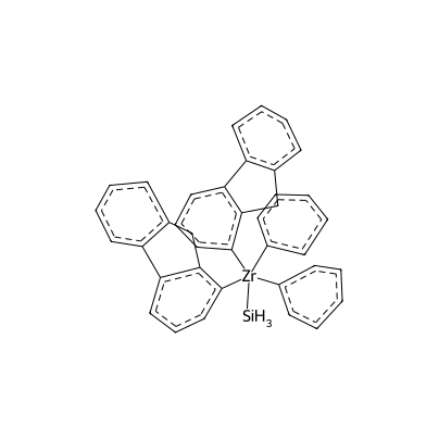 [SiH3][Zr]([c]1ccccc1)([c]1ccccc1)([c]1cccc2c1Cc1ccccc1-2)[c]1cccc2c1Cc1ccccc1-2